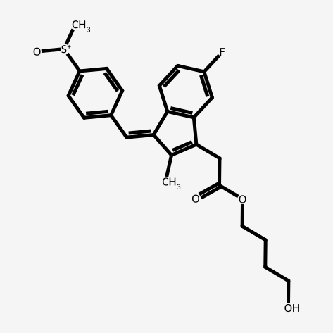 CC1=C(CC(=O)OCCCCO)c2cc(F)ccc2/C1=C\c1ccc([S+](C)[O-])cc1